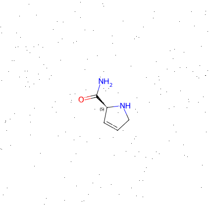 NC(=O)[C@@H]1C=CCN1